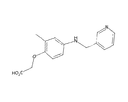 Cc1cc(NCc2cccnc2)ccc1OCC(=O)O